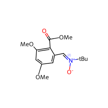 COC(=O)c1c(/C=[N+](\[O-])C(C)(C)C)cc(OC)cc1OC